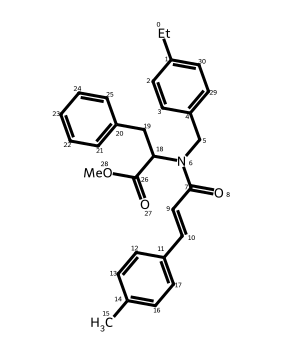 CCc1ccc(CN(C(=O)C=Cc2ccc(C)cc2)C(Cc2ccccc2)C(=O)OC)cc1